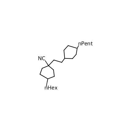 CCCCCCC1CCC(C#N)(CCC2CCC(CCCCC)CC2)CC1